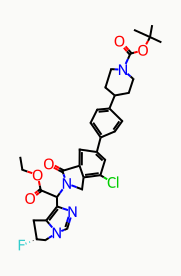 CCOC(=O)C(c1ncn2c1C[C@@H](F)C2)N1Cc2c(Cl)cc(-c3ccc(C4CCN(C(=O)OC(C)(C)C)CC4)cc3)cc2C1=O